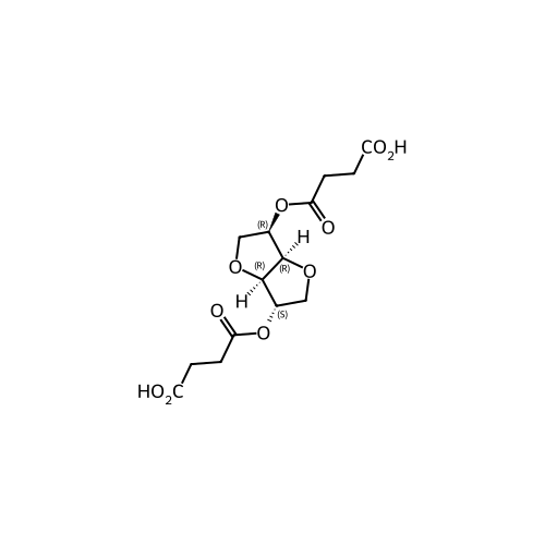 O=C(O)CCC(=O)O[C@H]1CO[C@H]2[C@@H]1OC[C@H]2OC(=O)CCC(=O)O